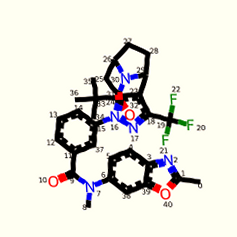 Cc1nc2ccc(N(C)C(=O)c3cccc(-n4nc(C(F)(F)F)c5c4CC4CCC5N4C(=O)C(C)(C)C)c3)cc2o1